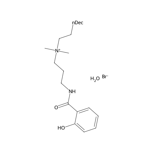 CCCCCCCCCCCC[N+](C)(C)CCCNC(=O)c1ccccc1O.O.[Br-]